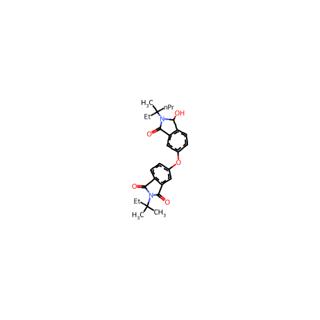 CCCC(C)(CC)N1C(=O)c2cc(Oc3ccc4c(c3)C(=O)N(C(C)(C)CC)C4=O)ccc2C1O